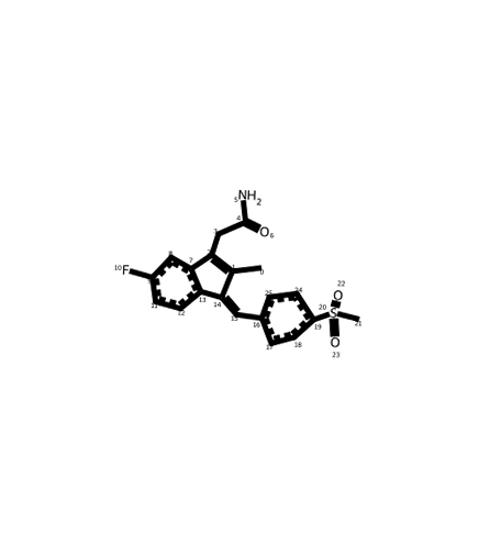 CC1=C(CC(N)=O)c2cc(F)ccc2C1=Cc1ccc(S(C)(=O)=O)cc1